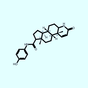 C[C@]12C=CC(=O)NC1CC[C@@H]1[C@H]2CC[C@]2(C)C(C(=O)Nc3ccc(O)cc3)CC[C@@H]12